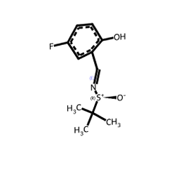 CC(C)(C)[S@+]([O-])/N=C/c1cc(F)ccc1O